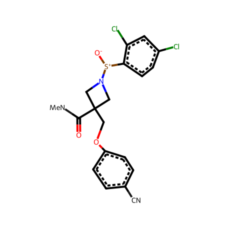 CNC(=O)C1(COc2ccc(C#N)cc2)CN([S+]([O-])c2ccc(Cl)cc2Cl)C1